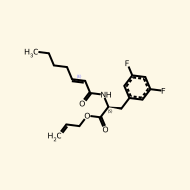 C=CCOC(=O)[C@H](Cc1cc(F)cc(F)c1)NC(=O)/C=C/CCCC